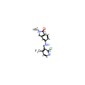 CCCCN1Cc2cc(NCc3c(C(F)(F)F)ccnc3Cl)ccc2C1=O